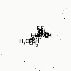 CC(C)CC(O)CONC(=O)c1cc(F)c(F)cc1Nc1ccc(I)cc1Cl